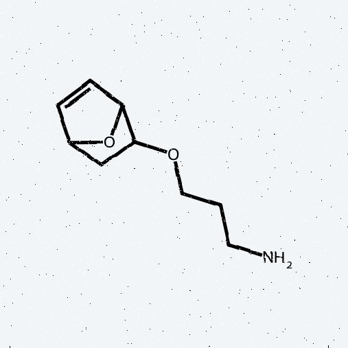 NCCCOC1CC2C=CC1O2